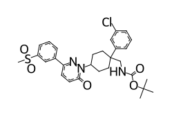 CC(C)(C)OC(=O)NCC1(c2cccc(Cl)c2)CCC(n2nc(-c3cccc(S(C)(=O)=O)c3)ccc2=O)CC1